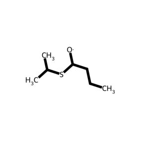 CCCC([O])SC(C)C